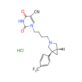 Cl.N#Cc1cn(CCCCN2C[C@@H]3C[C@]3(c3ccc(C(F)(F)F)cc3)C2)c(=O)[nH]c1=O